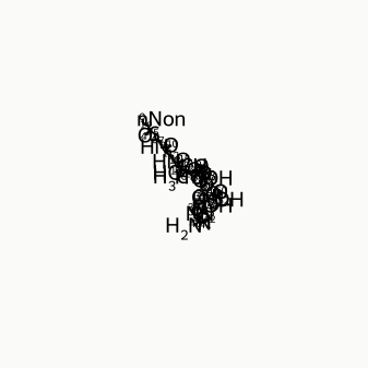 CCCCCCCCC/C=C/C(=O)SCCNC(=O)CCNC(=O)[C@H](O)C(C)(C)COP(=O)(O)OP(=O)(O)OC[C@H]1O[C@@H](n2cnc3c(N)ncnc32)[C@H](O)[C@@H]1OP(=O)(O)O